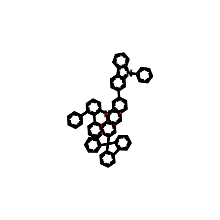 c1ccc(-c2ccccc2-c2c(-c3ccccc3)cccc2N(c2cccc(-c3ccc4c5ccccc5n(-c5ccccc5)c4c3)c2)c2ccc3c(c2)-c2ccccc2C32c3ccccc3-c3ccccc32)cc1